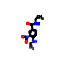 CCNC(=O)c1ccc(NC)c([N+](=O)[O-])c1